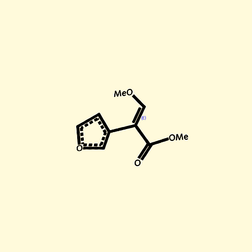 CO/C=C(/C(=O)OC)c1ccoc1